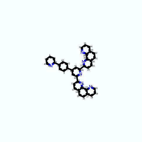 c1ccc(-c2ccc(-c3cc(-c4ccc5ccc6cccnc6c5n4)nc(-c4ccc5ccc6cccnc6c5n4)c3)cc2)nc1